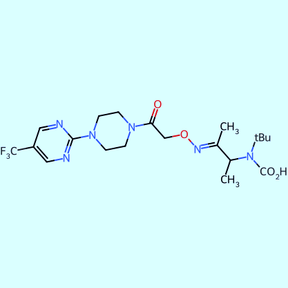 C/C(=N\OCC(=O)N1CCN(c2ncc(C(F)(F)F)cn2)CC1)C(C)N(C(=O)O)C(C)(C)C